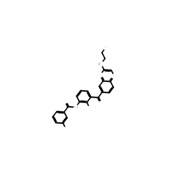 NCCNc1cnc2ccc(C(=O)c3cccc(NC(=O)c4cccc(F)c4)c3F)cc2n1